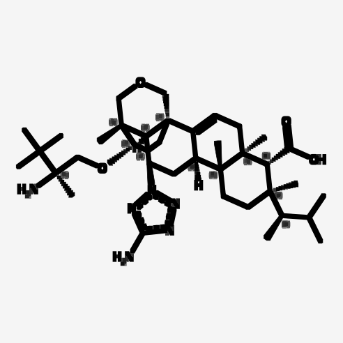 CC(C)[C@@H](C)[C@@]1(C)CC[C@]2(C)[C@H]3CC[C@@H]4[C@@]5(COC[C@@]4(C)[C@@H](OC[C@@](C)(N)C(C)(C)C)[C@H](n4nnc(N)n4)C5)C3=CC[C@@]2(C)[C@@H]1C(=O)O